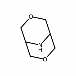 C1OCC2COCC1N2